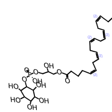 CC/C=C\C/C=C\C/C=C\C/C=C\C/C=C\CCCC(=O)OCC(O)COP(=O)(O)OC1C(O)C(O)C(O)C(O)C1O